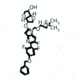 C[Si](C)(C)CCOCn1c(O[C@@H]2CO[C@H]3[C@@H]2OC[C@H]3O)cc2nc(-c3c(F)cc(OCc4ccccc4)cc3F)c(F)cc21